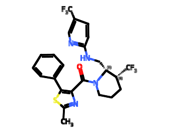 Cc1nc(C(=O)N2CCC[C@@H](C(F)(F)F)[C@H]2CNc2ccc(C(F)(F)F)cn2)c(-c2ccccc2)s1